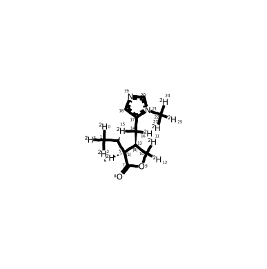 [2H]C([2H])([2H])C[C@]1([2H])C(=O)OC([2H])([2H])[C@@H]1C([2H])([2H])c1cncn1C([2H])([2H])[2H]